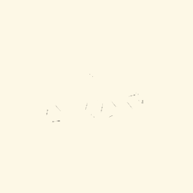 Cc1cccc(COC(=O)Nc2ccc(-c3cn[nH]c3)cc2OCCN2CCCC2)c1